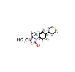 CCCCC1[C@H](C(=O)O)OC(=O)N1c1cc(F)c(C2CCSCC2)c(F)c1